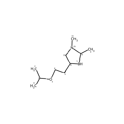 CC(C)OCCC1BC(C)N(C)C1